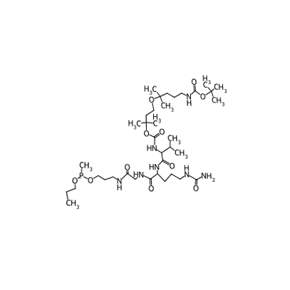 CCCOP(C)OCCCNC(=O)CNC(=O)C(CCCNC(N)=O)NC(=O)C(NC(=O)OC(C)(C)CCOC(C)(C)CCCNC(=O)OC(C)(C)C)C(C)C